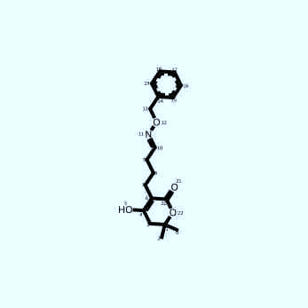 CC1(C)CC(O)=C(CCCC=NOCc2ccccc2)C(=O)O1